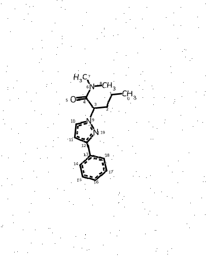 CCCC(C(=O)N(C)C)n1ccc(-c2ccccc2)n1